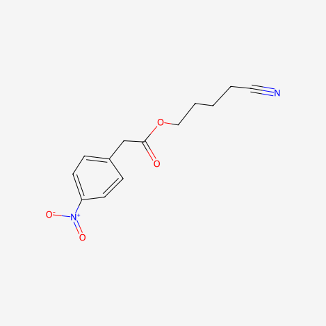 N#CCCCCOC(=O)Cc1ccc([N+](=O)[O-])cc1